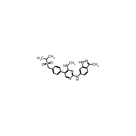 CNc1nc(Nc2ccc3c(C)n[nH]c3c2)ncc1-c1ccc(CS(=O)(=O)C(C)C)cc1